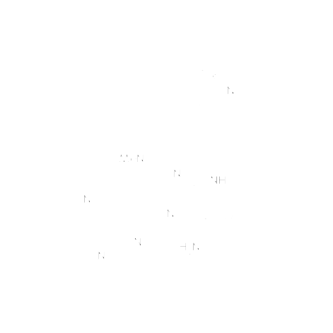 CNc1nc(Nc2ccc3c(c2)C[S+]([O-])N3C)c(C(N)=O)nc1-c1cncc2c1ncn2C